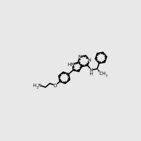 C[C@@H](Nc1ncnc2[nH]c(-c3ccc(OCCN)cc3)cc12)c1ccccc1